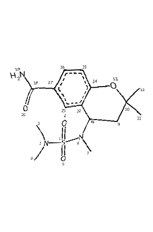 CN(C)S(=O)(=O)N(C)C1CC(C)(C)Oc2ccc(C(N)=O)cc21